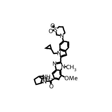 COc1cc(C(=O)N2CC3CCC2[C@@H]3N)cc2nc(-c3cc4ccc(N5CCCS(=O)(=O)C5)cc4n3CC3CC3)n(C)c12